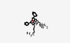 CCCCC1=Cc2c(-c3ccccc3)cccc2[CH]1[Zr+2]1([CH]2C(CCCC)=Cc3c(-c4ccccc4)cccc32)[CH2][CH2]1.[Cl-].[Cl-]